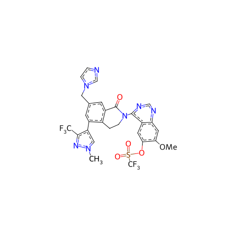 COc1cc2ncnc(N3CCc4c(cc(Cn5ccnc5)cc4-c4cn(C)nc4C(F)(F)F)C3=O)c2cc1OS(=O)(=O)C(F)(F)F